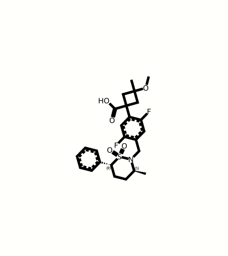 COC1(C)CC(C(=O)O)(c2cc(F)c(CN3[C@@H](C)CC[C@H](c4ccccc4)S3(=O)=O)cc2F)C1